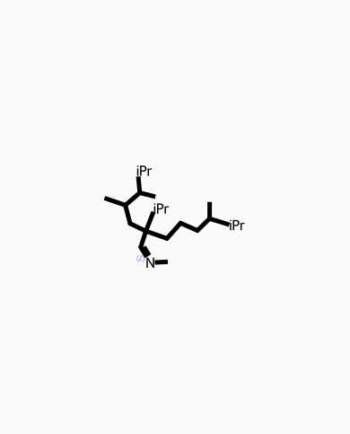 C/N=C\C(CCCC(C)C(C)C)(CC(C)C(C)C(C)C)C(C)C